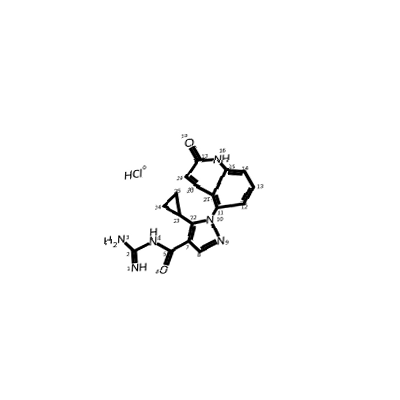 Cl.N=C(N)NC(=O)c1cnn(-c2cccc3[nH]c(=O)ccc23)c1C1CC1